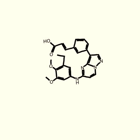 CCc1cc(Nc2ccn3ncc(-c4cccc(/C=C/C(=O)O)c4)c3n2)cc(OC)c1OC